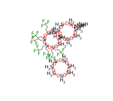 FC(F)(F)CC[SiH]1O[SiH2]O[SiH2]O[SiH2]O[Si](CCC(F)(F)F)(CCC(F)(F)F)O[Si](CCC(F)(F)F)(CCC(F)(F)F)O[Si](CCC(F)(F)F)(CCC(F)(F)F)O1.O1[SiH2]O[SiH2]O[SiH2]O[SiH2]O[SiH2]O[SiH2]O[SiH2]1.O1[SiH2]O[SiH2]O[SiH2]O[SiH2]O[SiH2]O[SiH2]O[SiH2]1.[NaH].[NaH].[NaH]